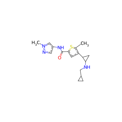 Cc1sc(C(=O)Nc2cnn(C)c2)cc1C1CC1NCC1CC1